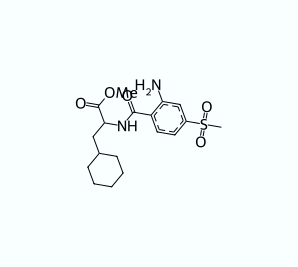 COC(=O)C(CC1CCCCC1)NC(=O)c1ccc(S(C)(=O)=O)cc1N